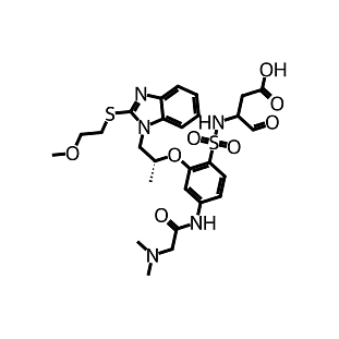 COCCSc1nc2ccccc2n1C[C@@H](C)Oc1cc(NC(=O)CN(C)C)ccc1S(=O)(=O)NC(C=O)CC(=O)O